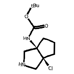 CC(C)(C)OC(=O)N[C@@]12CCC[C@]1(Cl)CNC2